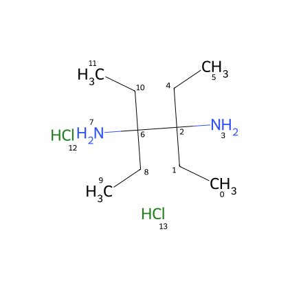 CCC(N)(CC)C(N)(CC)CC.Cl.Cl